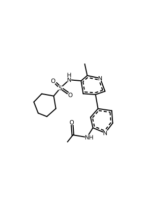 CC(=O)Nc1cc(-c2cnc(C)c(NS(=O)(=O)C3CCCCC3)c2)ccn1